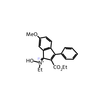 CCOC(=O)C1=C(c2ccccc2)c2ccc(OC)cc2/C1=[N+](\O)CC